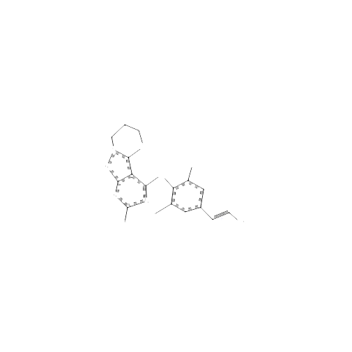 Cc1cc(/C=C/C#N)cc(C)c1Oc1nc(Cl)nc2nn3c(c12)OCCC3